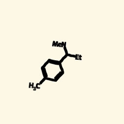 CCC(NC)c1ccc(C)cc1